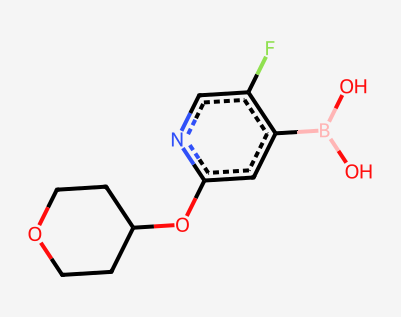 OB(O)c1cc(OC2CCOCC2)ncc1F